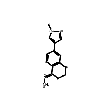 Cn1cc(-c2ccc3c(c2)CCC/C3=N\N)cn1